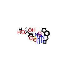 CC(O)(CO)c1coc(S(=N)(=O)NC(=O)Nc2c(CC3CCC3)ccc3c2CCC3)c1